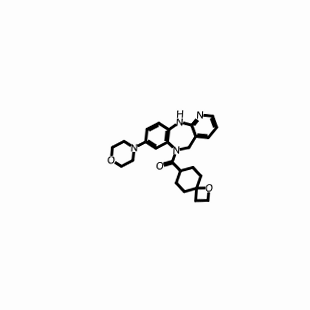 O=C(C1CCC2(CCO2)CC1)N1Cc2cccnc2Nc2ccc(N3CCOCC3)cc21